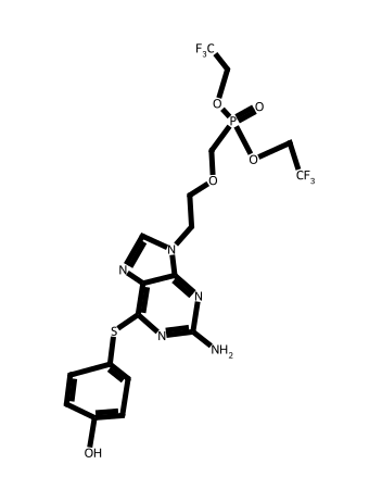 Nc1nc(Sc2ccc(O)cc2)c2ncn(CCOCP(=O)(OCC(F)(F)F)OCC(F)(F)F)c2n1